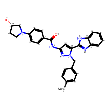 COc1ccc(Cn2nc(NC(=O)c3ccc(N4CC[C@H](O)C4)cc3)cc2-c2nc3ccccc3[nH]2)cc1